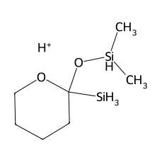 C[SiH](C)OC1([SiH3])CCCCO1.[H+]